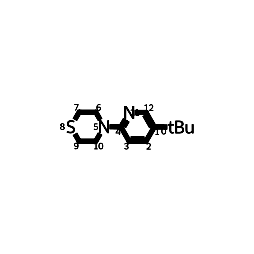 CC(C)(C)c1ccc(N2CCSCC2)nc1